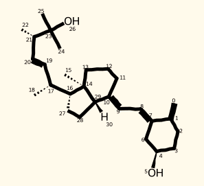 C=C1CC[C@@H](O)C/C1=C\C=C1/CCC[C@]2(C)[C@@H]([C@H](C)C=C[C@H](C)C(C)(C)O)CC[C@@H]12